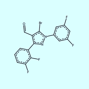 O=Cc1c(-c2cccc(F)c2F)nn(-c2cc(F)cc(F)c2)c1Br